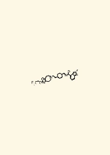 Cn1cc2c(C(=O)/N=C/C3CCC(CCN4CCc5nc(OCC(F)(F)F)oc5CC4)CC3)cccc2n1